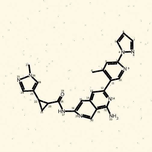 Cc1cc(-n2cccn2)ncc1-c1cc2cc(NC(=O)C3CC3c3cnn(C)c3)ncc2c(N)n1